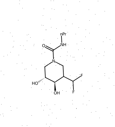 CCCNC(=O)N1CC(C(F)F)[C@@H](O)[C@H](O)C1